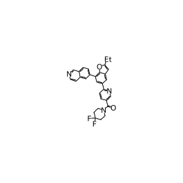 CCc1cc2cc(-c3ccc(C(=O)N4CCC(F)(F)CC4)cn3)cc(-c3ccc4cnccc4c3)c2o1